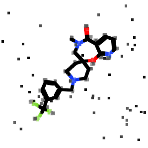 CN1CC2(CCN(Cc3cccc(C(F)(F)F)c3)CC2)Oc2ncccc2C1=O